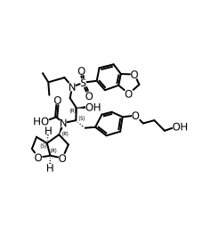 CC(C)CN(C[C@@H](O)[C@H](Cc1ccc(OCCCO)cc1)N(C(=O)O)[C@H]1CO[C@H]2OCC[C@H]21)S(=O)(=O)c1ccc2c(c1)OCO2